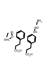 CC.CCOC=O.CN.O=C(O)CCc1ccccc1.O=C(O)CCc1ccccc1.O=NO